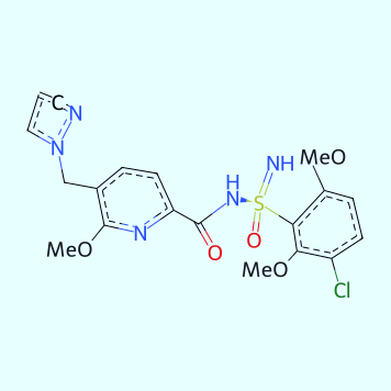 COc1ccc(Cl)c(OC)c1[S@@](=N)(=O)NC(=O)c1ccc(Cn2cccn2)c(OC)n1